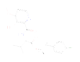 COc1ccnc(C(=O)N[C@H](C(=O)O[C@H](C)[C@H](C)c2ccc(F)cc2)C(C)C)c1O